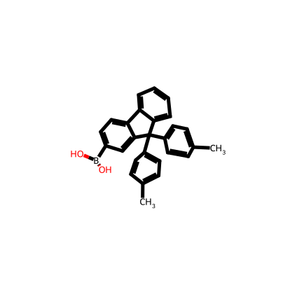 Cc1ccc(C2(c3ccc(C)cc3)c3ccccc3-c3ccc(B(O)O)cc32)cc1